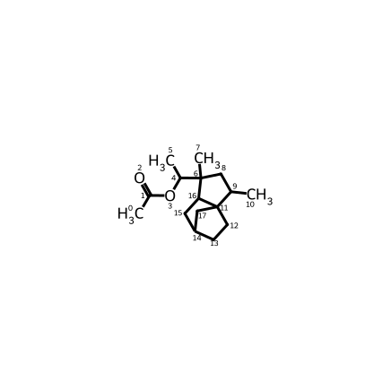 CC(=O)OC(C)C1(C)CC(C)C23CCC(CC12)C3